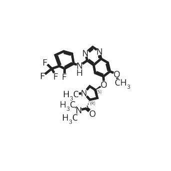 COc1cc2ncnc(Nc3cccc(C(F)(F)F)c3F)c2cc1O[C@H]1C[C@H](C(=O)N(C)C)N(C)C1